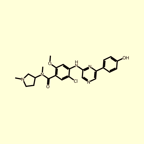 COc1cc(Nc2cncc(-c3ccc(O)cc3)n2)c(Cl)cc1C(=O)N(C)C1CCN(C)C1